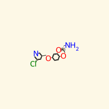 NC[C@@H]1COc2ccc(OCc3cncc(Cl)c3)cc2O1